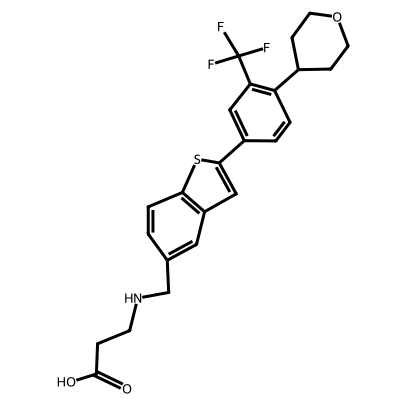 O=C(O)CCNCc1ccc2sc(-c3ccc(C4CCOCC4)c(C(F)(F)F)c3)cc2c1